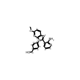 COc1ccc2nc(-c3cccnc3N)n(-c3ccc(CO)cc3)c2n1